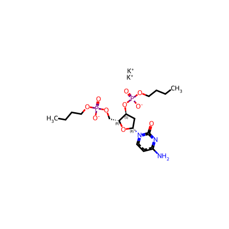 CCCCOP(=O)([O-])OC[C@H]1O[C@@H](n2ccc(N)nc2=O)C[C@@H]1OP(=O)([O-])OCCCC.[K+].[K+]